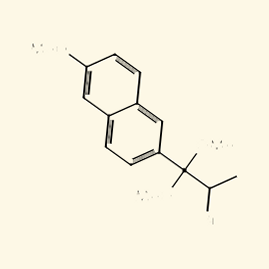 COc1ccc2cc(C(OC)(OC)C(C)Br)ccc2c1